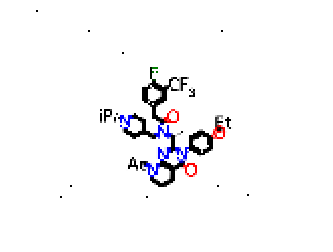 CCOc1ccc(-n2c([C@@H](C)N(CC3CCN(C(C)C)CC3)C(=O)Cc3ccc(F)c(C(F)(F)F)c3)nc3c(c2=O)CCCN3C(C)=O)cc1